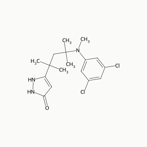 CN(c1cc(Cl)cc(Cl)c1)C(C)(C)CC(C)(C)c1cc(=O)[nH][nH]1